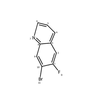 Fc1cc2cccnc2cc1Br